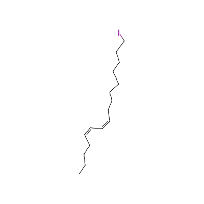 CCCC/C=C\C=C/CCCCCCCCI